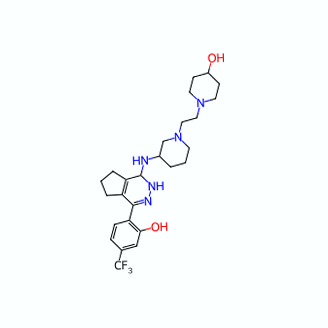 Oc1cc(C(F)(F)F)ccc1C1=NNC(NC2CCCN(CCN3CCC(O)CC3)C2)C2=C1CCC2